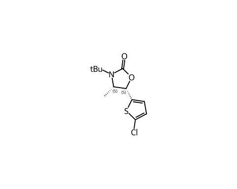 C[C@H]1[C@@H](c2ccc(Cl)s2)OC(=O)N1C(C)(C)C